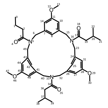 CCCC(=O)N1Cc2cc(cc(OC)c2)CN(C(=O)CC(C)C)Cc2cc(cc(OC)c2)CN(C(=O)CC(C)C)Cc2cc(cc(OC)c2)C1